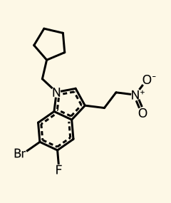 O=[N+]([O-])CCc1cn(CC2CCCC2)c2cc(Br)c(F)cc12